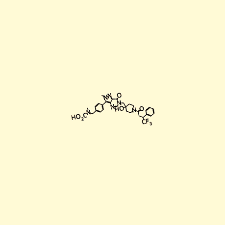 CN(Cc1ccc(-c2c3ncn(CC4(O)CCN(C(=O)CC(c5ccccc5)C(F)(F)F)CC4)c(=O)c3nn2C)cc1)C(=O)O